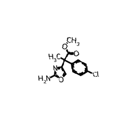 COC(=O)C(C)(c1ccc(Cl)cc1)c1coc(N)n1